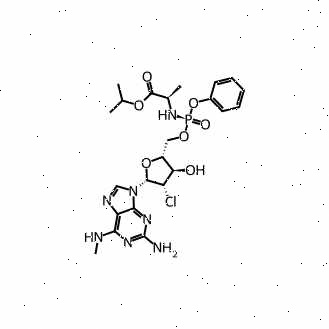 CNc1nc(N)nc2c1ncn2[C@@H]1O[C@H](CO[P@](=O)(N[C@H](C)C(=O)OC(C)C)Oc2ccccc2)[C@@H](O)[C@@H]1Cl